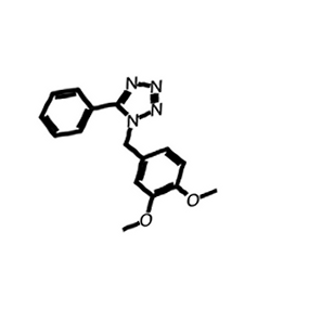 COc1ccc(Cn2nnnc2-c2ccccc2)cc1OC